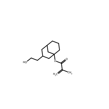 C=C(C)C(=O)OC12CCCC(CC(CCO)C1)C2